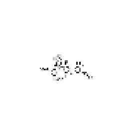 COc1ccc(CN(c2ncns2)S(=O)(=O)c2cc(F)c(Oc3cc(N4CC(O)C4)cc(C(F)(F)F)c3)cc2F)c(OC)c1